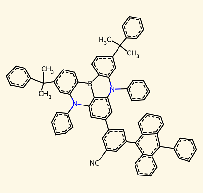 CC(C)(c1ccccc1)c1ccc2c(c1)N(c1ccccc1)c1cc(-c3cc(C#N)cc(-c4c5ccccc5c(-c5ccccc5)c5ccccc45)c3)cc3c1B2c1ccc(C(C)(C)c2ccccc2)cc1N3c1ccccc1